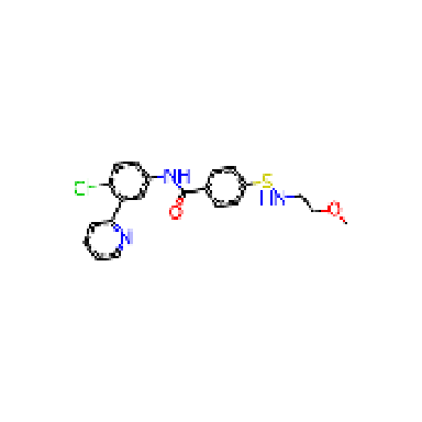 COCCNSc1ccc(C(=O)Nc2ccc(Cl)c(-c3ccccn3)c2)cc1